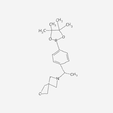 CC(c1ccc(B2OC(C)(C)C(C)(C)O2)cc1)N1CC2(COC2)C1